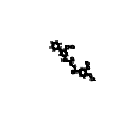 CCOc1ccc(C(=O)CCC(=O)Nc2cc(-c3ccccc3)c(C=O)s2)cc1OCC